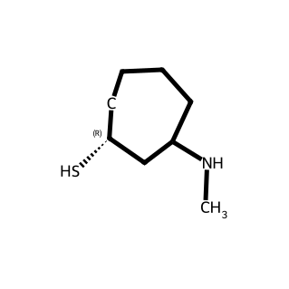 CNC1CCCC[C@@H](S)C1